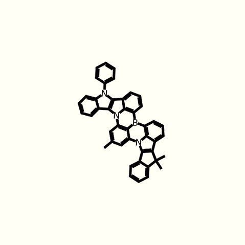 Cc1cc2c3c(c1)-n1c4c(cccc4c4c1c1ccccc1n4-c1ccccc1)B3c1cccc3c4c(n-2c13)-c1ccccc1C4(C)C